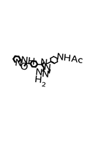 CC(=O)NC1CC=C(c2nc(-c3ccc(C(=O)Nc4ccccn4)cc3)c3c(N)nccn23)CC1